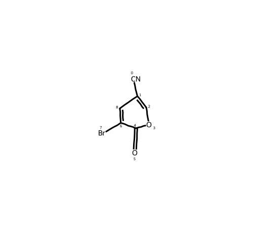 N#Cc1coc(=O)c(Br)c1